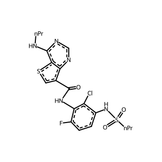 CCCNc1ncnc2c(C(=O)Nc3c(F)ccc(NS(=O)(=O)CCC)c3Cl)csc12